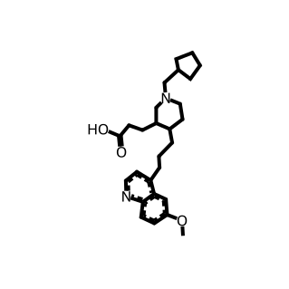 COc1ccc2nccc(CCCC3CCN(CC4CCCC4)CC3CCC(=O)O)c2c1